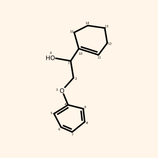 OC(COc1ccccc1)C1=CCCCC1